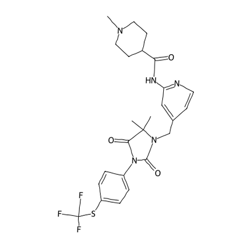 CN1CCC(C(=O)Nc2cc(CN3C(=O)N(c4ccc(SC(F)(F)F)cc4)C(=O)C3(C)C)ccn2)CC1